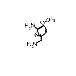 COc1ccc(CN)nc1N